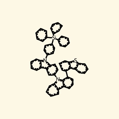 c1ccc([Si](c2ccccc2)(c2ccccc2)c2ccc(-n3c4ccccc4c4cc(-n5c6ccccc6c6cccc(-c7cccc8sc9ccccc9c78)c65)ccc43)cc2)cc1